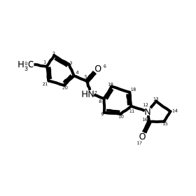 Cc1ccc(C(=O)Nc2ccc(N3CCCC3=O)cc2)cc1